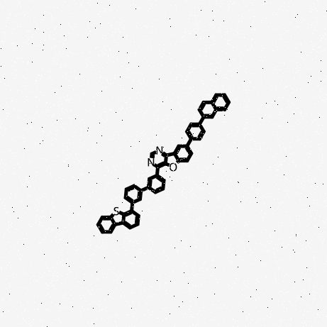 c1cc(-c2cccc(-c3cccc4c3sc3ccccc34)c2)cc(-c2ncnc3c2oc2ccc(-c4ccc(-c5ccc6ccccc6c5)cc4)cc23)c1